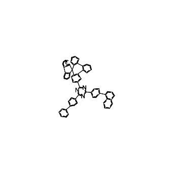 c1ccc(-c2ccc(-c3nc(-c4ccc(-c5cccc6ccccc56)cc4)nc(-c4ccc5c(c4)-c4ccccc4-c4ccccc4C54c5ccccc5-c5ccccc54)n3)cc2)cc1